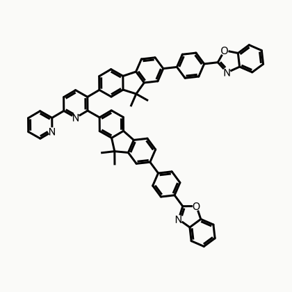 CC1(C)c2cc(-c3ccc(-c4nc5ccccc5o4)cc3)ccc2-c2ccc(-c3ccc(-c4ccccn4)nc3-c3ccc4c(c3)C(C)(C)c3cc(-c5ccc(-c6nc7ccccc7o6)cc5)ccc3-4)cc21